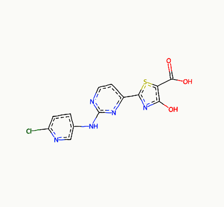 O=C(O)c1sc(-c2ccnc(Nc3ccc(Cl)nc3)n2)nc1O